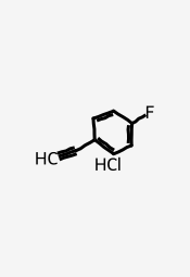 C#Cc1ccc(F)cc1.Cl